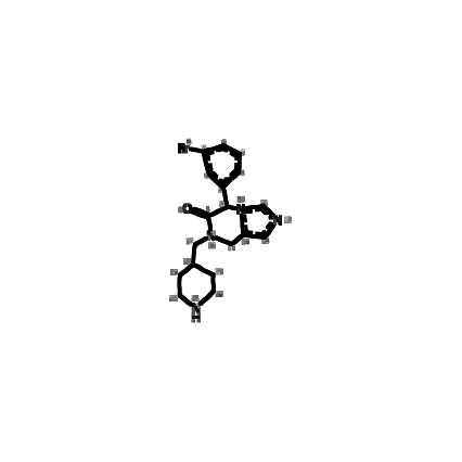 O=C1C(c2cccc(Br)c2)n2cncc2CN1CC1CCNCC1